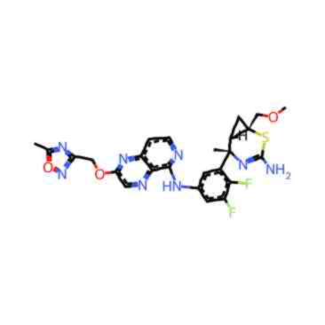 COC[C@]12C[C@H]1[C@@](C)(c1cc(Nc3nccc4nc(OCc5noc(C)n5)cnc34)cc(F)c1F)N=C(N)S2